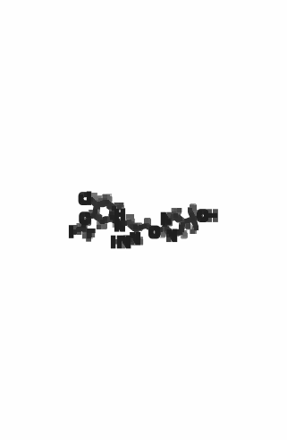 CC(C)(O)c1cnc(OC/C(=C/Nc2ccc(Cl)c(OC(F)F)c2)N=N)nc1